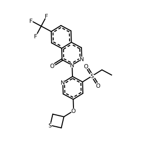 CCS(=O)(=O)c1cc(OC2CSC2)cnc1-n1ncc2ccc(C(F)(F)F)cc2c1=O